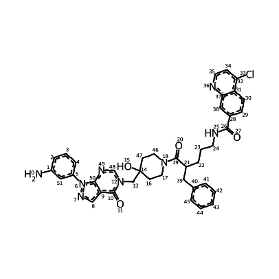 Nc1cccc(-n2ncc3c(=O)n(CC4(O)CCN(C(=O)C(CCCNC(=O)c5ccc6c(Cl)ccnc6c5)Cc5ccccc5)CC4)cnc32)c1